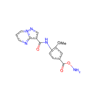 COc1cc(C(=O)ON)ccc1NC(=O)c1cnn2cccnc12